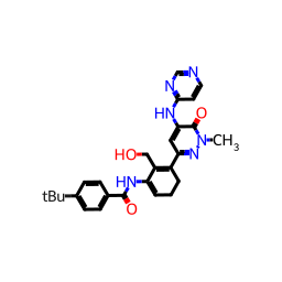 Cn1nc(C2=C(CO)C(NC(=O)c3ccc(C(C)(C)C)cc3)=CCC2)cc(Nc2ccncn2)c1=O